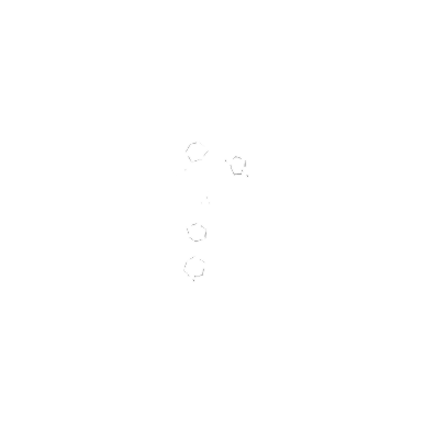 Clc1ccccc1[C@]1(Cn2ccnc2)OC[C@H](OCc2ccc(-c3ccncc3)cc2)CO1